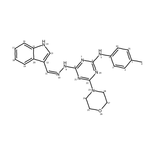 Cc1ccc(Nc2nc(N/N=C\c3c[nH]c4ccccc34)nc(N3CCOCC3)n2)cc1